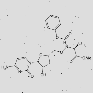 COC(=O)[C@H](C)N(OC[C@@H]1CC(O)[C@H](n2ccc(N)nc2=O)O1)[PH](=O)Oc1ccccc1